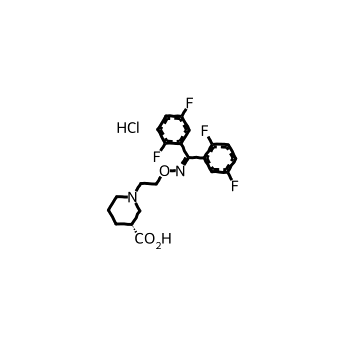 Cl.O=C(O)[C@@H]1CCCN(CCON=C(c2cc(F)ccc2F)c2cc(F)ccc2F)C1